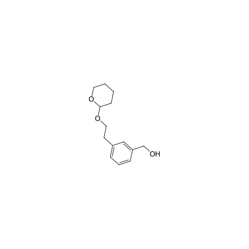 OCc1cccc(CCOC2CCCCO2)c1